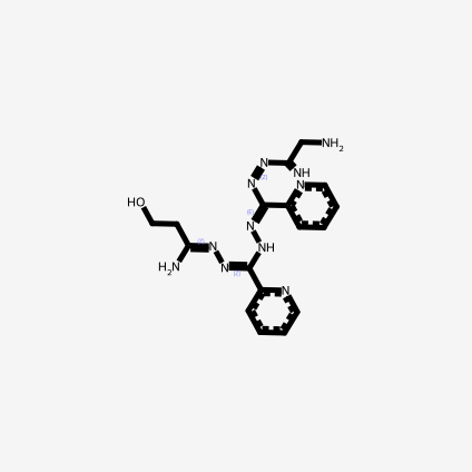 N=C(CN)/N=N\C(=N\N/C(=N\N=C(/N)CCO)c1ccccn1)c1ccccn1